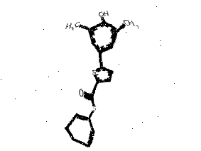 Cc1cc(-c2ccc(C(=O)SC3=CCCC=C3)s2)cc(C)c1O